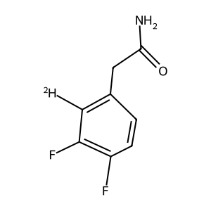 [2H]c1c(CC(N)=O)ccc(F)c1F